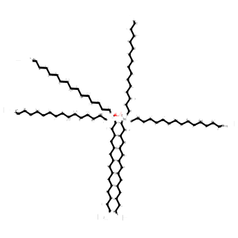 CCCCCCCCCCCCCCC[CH2][Sn]([CH2]CCCCCCCCCCCCCCC)([CH2]CCCCCCCCCCCCCCC)[O][Sn]([CH2]CCCCCCCCCCCCCCC)([CH2]CCCCCCCCCCCCCCC)[CH2]CCCCCCCCCCCCCCC